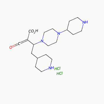 Cl.Cl.O=C=C(C(=O)O)C(CC1CCNCC1)N1CCN(C2CCNCC2)CC1